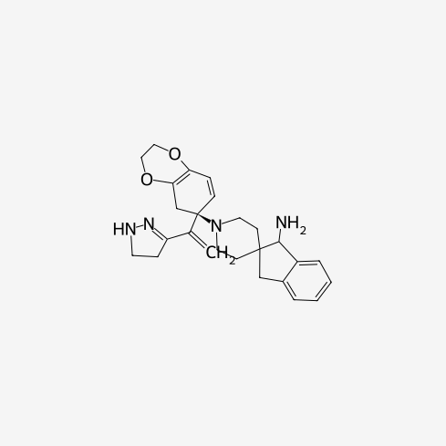 C=C(C1=NNCC1)[C@@]1(N2CCC3(CC2)Cc2ccccc2C3N)C=CC2=C(C1)OCCO2